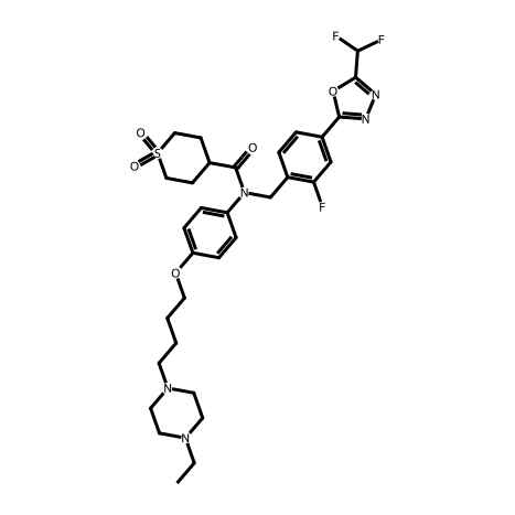 CCN1CCN(CCCCOc2ccc(N(Cc3ccc(-c4nnc(C(F)F)o4)cc3F)C(=O)C3CCS(=O)(=O)CC3)cc2)CC1